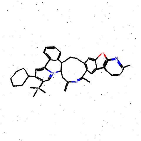 C=C1CC2C(CCc3cc4oc5nc(C)ccc5c4cc3/C(C)=N\1)c1ccccc1-c1cc(C3CCCCC3)c([Si](C)(C)C)c[n+]12